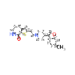 Cc1ccc2c(C3CCN(CCc4cc5c(s4)C(=O)NCCC5)CC3)coc2c1